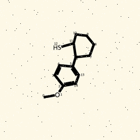 COc1ccc(C2CCCCC2S)cc1